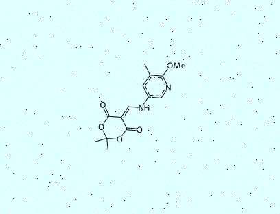 COc1ncc(NC=C2C(=O)OC(C)(C)OC2=O)cc1C